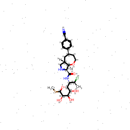 CSC1O[C@H]([C@H](NC(=O)[C@H]2NC[C@@H]3C[C@@H](c4ccc(C#N)cc4)CCO[C@H]32)[C@H](C)Cl)[C@@H](O)C(O)[C@H]1O